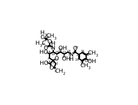 C=CCC1(C(=O)O)CC(O)C(NC(=O)OC(C)(C)C)[C@H]([C@H](O)[C@H](O)CNC(=O)c2cc(C)c(O)c(C)c2)O1